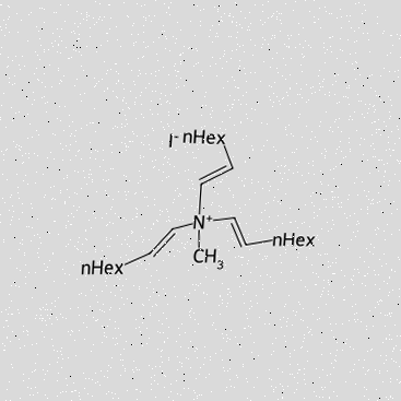 CCCCCCC=C[N+](C)(C=CCCCCCC)C=CCCCCCC.[I-]